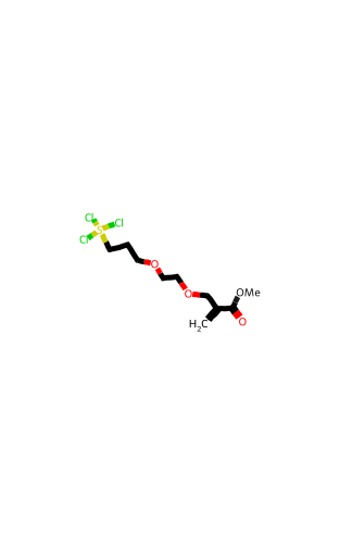 C=C(COCCOCCCS(Cl)(Cl)Cl)C(=O)OC